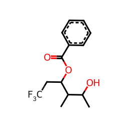 CC(O)C(C)C(CC(F)(F)F)OC(=O)c1ccccc1